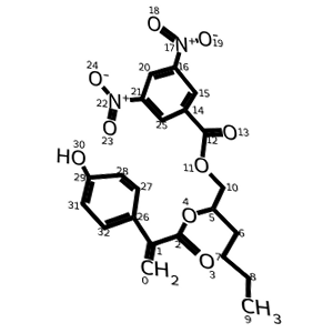 C=C(C(=O)OC(CCCC)COC(=O)c1cc([N+](=O)[O-])cc([N+](=O)[O-])c1)c1ccc(O)cc1